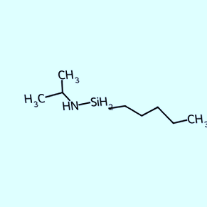 CCCCCC[SiH2]NC(C)C